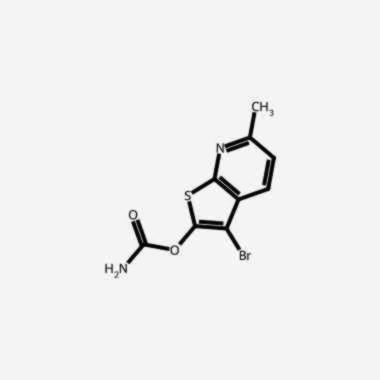 Cc1ccc2c(Br)c(OC(N)=O)sc2n1